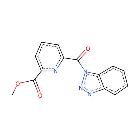 COC(=O)c1cccc(C(=O)n2nnc3ccccc32)n1